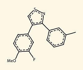 COc1ccc(-c2csnc2-c2cccc(C)c2)cc1F